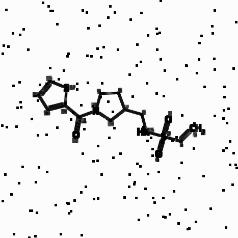 C=CS(=O)(=O)NCC1CCN(C(=O)c2cccs2)C1